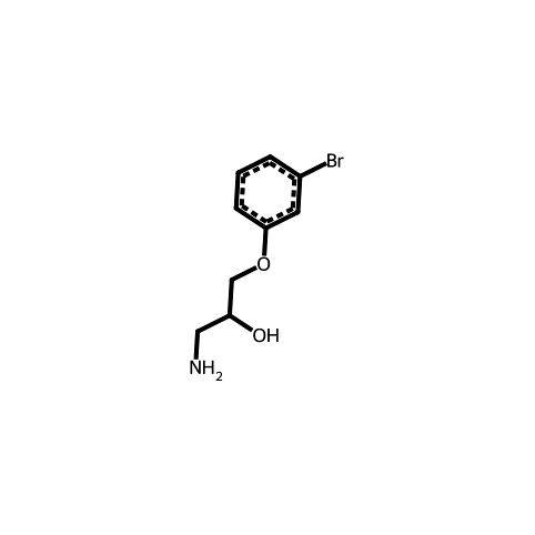 NCC(O)COc1cccc(Br)c1